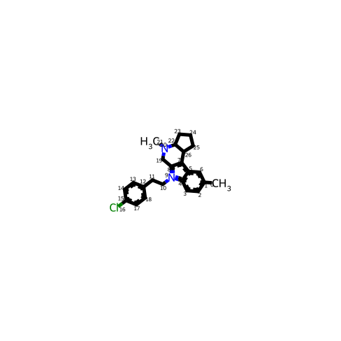 Cc1ccc2c(c1)c1c(n2CCc2ccc(Cl)cc2)CN(C)C2CCCC12